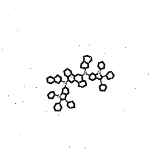 c1ccc(-c2c(-c3ccccc3)n(-c3ccccc3)c3cc(N(c4ccc5ccccc5c4)c4cc5c6ccccc6c(N(c6ccc7ccccc7c6)c6ccc7c(-c8ccccc8)c(-c8ccccc8)n(-c8ccccc8)c7c6)cc5c5ccccc45)ccc23)cc1